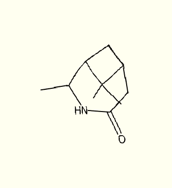 CC1NC(=O)CC2CC1C2(C)C